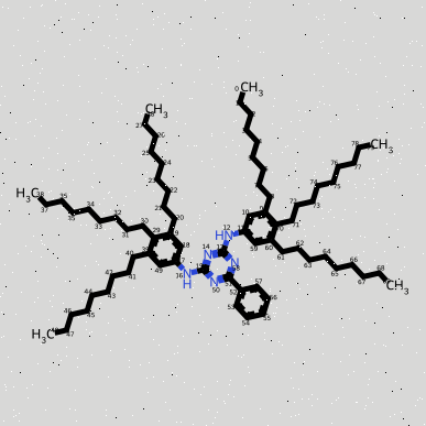 CCCCCCCCCc1cc(Nc2nc(Nc3cc(CCCCCCCCC)c(CCCCCCCCC)c(CCCCCCCCC)c3)nc(-c3cc[c]cc3)n2)cc(CCCCCCCCC)c1CCCCCCCCC